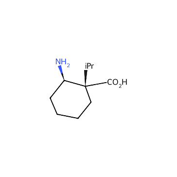 CC(C)[C@@]1(C(=O)O)CCCC[C@H]1N